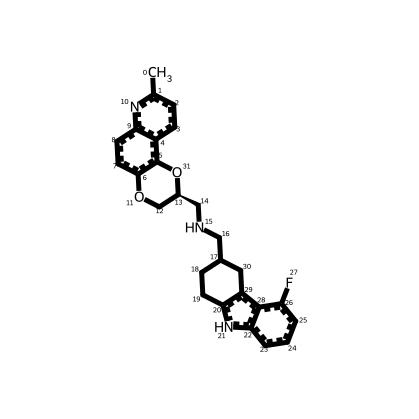 Cc1ccc2c3c(ccc2n1)OC[C@H](CNCC1CCc2[nH]c4cccc(F)c4c2C1)O3